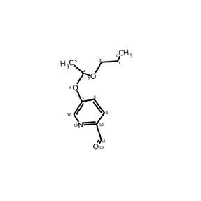 CCCOC(C)Oc1ccc(C=O)nc1